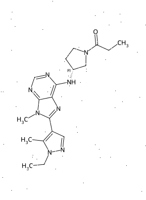 CCC(=O)N1CC[C@@H](Nc2ncnc3c2nc(-c2cnn(CC)c2C)n3C)C1